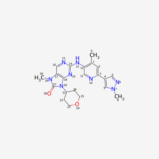 Cc1cc(-c2cnn(C)c2)ncc1Nc1ncc2c(n1)n(C1CCOCC1)c(=O)n2C